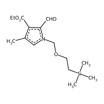 CCOC(=O)c1c(C)cn(COCC[Si](C)(C)C)c1C=O